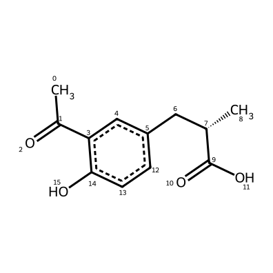 CC(=O)c1cc(C[C@H](C)C(=O)O)ccc1O